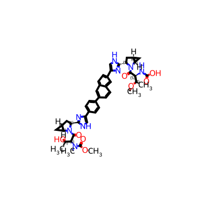 COC(=O)N(C)[C@H](C(=O)N1[C@@H]2C[C@@H]2C[C@H]1c1nc(-c2ccc(-c3ccc4cc(-c5c[nH]c([C@@H]6C[C@H]7C[C@H]7N6C(=O)[C@@H](NC(=O)O)[C@@H](C)OC)n5)ccc4c3)cc2)c[nH]1)[C@@H](C)O